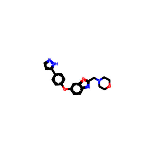 c1cc(-c2ccc(Oc3ccc4nc(CN5CCOCC5)oc4c3)cc2)[nH]n1